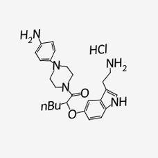 CCCCC(Oc1ccc2[nH]cc(CCN)c2c1)C(=O)N1CCN(c2ccc(N)cc2)CC1.Cl